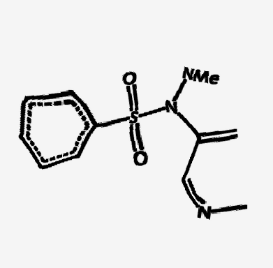 C=C(/C=N\C)N(NC)S(=O)(=O)c1ccccc1